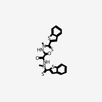 CN(NC(=O)C(=O)NN(C)C(=S)c1cc2ccccc2s1)C(=S)c1cc2ccccc2s1